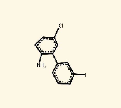 Nc1ccc(Cl)cc1-c1cccc(I)c1